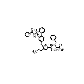 CCCc1cc(C(=O)N[C@H](Cc2ccccc2)[C@@H](O)C(=O)O)nn1Cc1ccc(-c2ccccc2S(=O)(=O)NC(=O)N2CCCC2)cc1